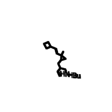 C=CC(CNC(C)CC)CC1CC1(C)/C=C/C1CCC1